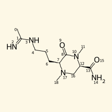 CC(=N)NCCC[C@H]1C(=O)N(C)[C@@H](C(N)=O)CN1C